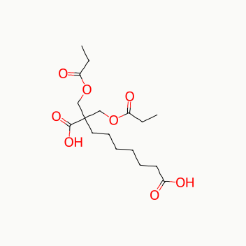 CCC(=O)OCC(CCCCCCC(=O)O)(COC(=O)CC)C(=O)O